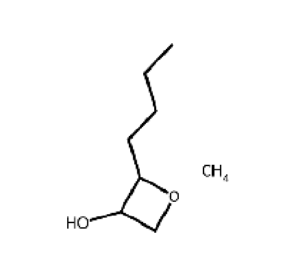 C.CCCCC1OCC1O